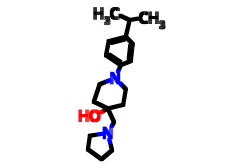 CC(C)c1ccc(N2CCC(O)(CN3CCCC3)CC2)cc1